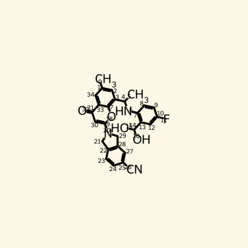 Cc1cc(C(C)Nc2ccc(F)cc2C(O)O)c2oc(N3Cc4ccc(C#N)cc4C3)cc(=O)c2c1